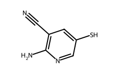 N#Cc1cc(S)cnc1N